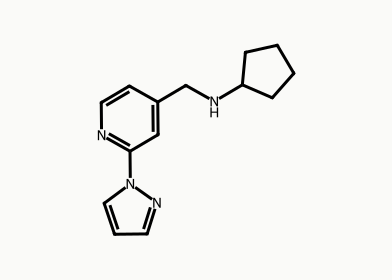 c1cnn(-c2cc(CNC3CCCC3)ccn2)c1